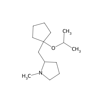 CC(C)OC1(CC2CCCN2C)CCCC1